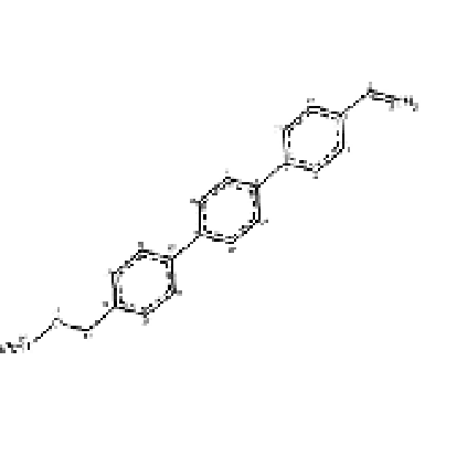 C=Cc1ccc(-c2ccc(-c3ccc(COCCCCC)cc3)cc2)cc1